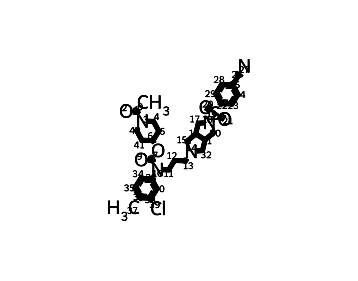 CC(=O)N1CCC(OC(=O)N(CCCN2CC3CN(S(=O)(=O)c4ccc(C#N)cc4)CC3C2)c2ccc(C)c(Cl)c2)CC1